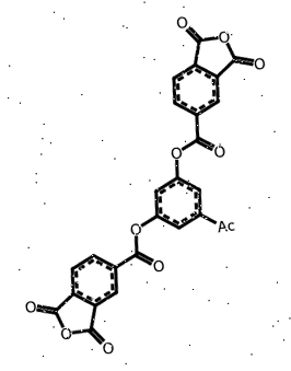 CC(=O)c1cc(OC(=O)c2ccc3c(c2)C(=O)OC3=O)cc(OC(=O)c2ccc3c(c2)C(=O)OC3=O)c1